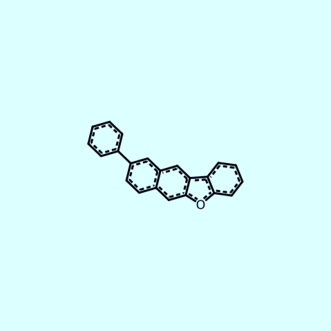 c1ccc(-c2ccc3cc4oc5ccccc5c4cc3c2)cc1